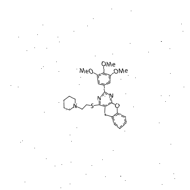 COc1cc(-c2nc3c(c(SCCN4CCCCC4)n2)Cc2ccccc2O3)cc(OC)c1OC